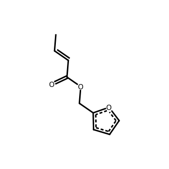 CC=CC(=O)OCc1ccco1